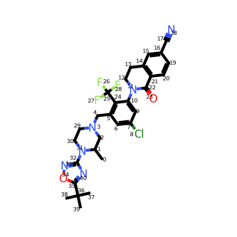 CC1CN(Cc2cc(Cl)cc(N3CCc4cc(C#N)ccc4C3=O)c2C(F)(F)F)CCN1c1noc(C(C)(C)C)n1